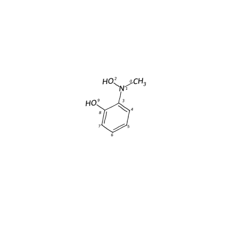 CN(O)c1ccccc1O